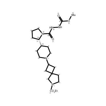 CCOC(=O)N1CCC2(CC(N3CCC([C@@H]4CCCN4C(=O)NNC(=O)OC(C)(C)C)CC3)C2)C1